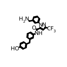 NCc1cccc(-n2nc(C(F)(F)F)cc2C(=O)Nc2cccc(Cc3ccc(O)cc3)c2)c1